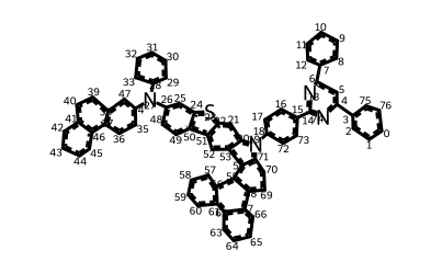 c1ccc(-c2cc(-c3ccccc3)nc(-c3ccc(-n4c5cc6sc7cc(N(c8ccccc8)c8ccc9c(ccc%10ccccc%109)c8)ccc7c6cc5c5c6c7ccccc7c7ccccc7c6ccc54)cc3)n2)cc1